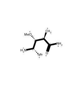 CCC[C@H](N)[C@H](OC)[C@@H](C)C(N)=O